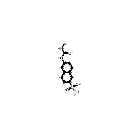 CNC(=O)Oc1ccc2cc(S(=O)(=O)O)ccc2c1